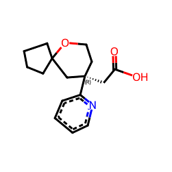 O=C(O)C[C@@]1(c2ccccn2)CCOC2(CCCC2)C1